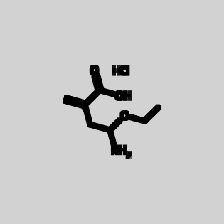 C=C(CC(N)OCC)C(=O)O.Cl